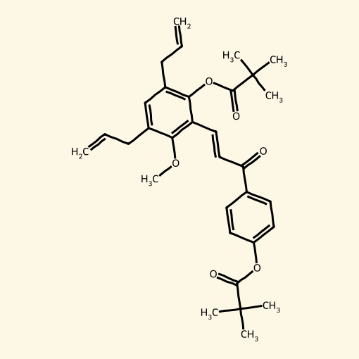 C=CCc1cc(CC=C)c(OC(=O)C(C)(C)C)c(C=CC(=O)c2ccc(OC(=O)C(C)(C)C)cc2)c1OC